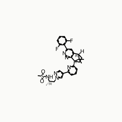 C[C@@H](Cn1cc(-c2cccc([C@@]34CC[C@@H](c5cc(-c6c(F)cccc6F)nnc53)C4(C)C)n2)cn1)NS(C)(=O)=O